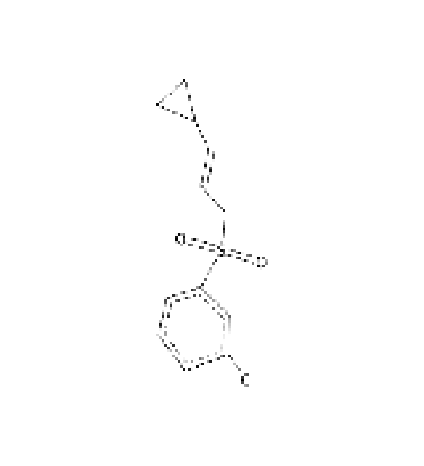 O=S(=O)(CC=CC1CC1)c1cccc(Cl)c1